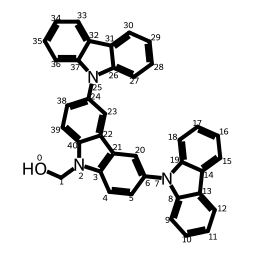 OCn1c2ccc(-n3c4ccccc4c4ccccc43)cc2c2cc(-n3c4ccccc4c4ccccc43)ccc21